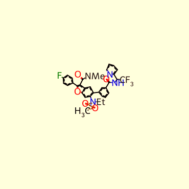 CCN(c1cc2oc(-c3ccc(F)cc3)c(C(=O)NC)c2cc1-c1cccc(C(=O)NC(c2ccccn2)C(F)(F)F)c1)S(C)(=O)=O